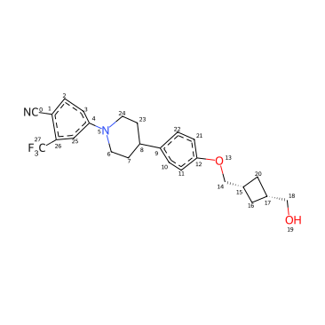 N#Cc1ccc(N2CCC(c3ccc(OC[C@H]4C[C@@H](CO)C4)cc3)CC2)cc1C(F)(F)F